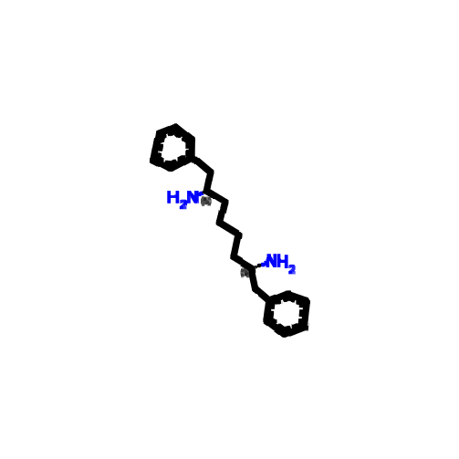 N[C@@H](CCCC[C@H](N)Cc1ccccc1)Cc1ccccc1